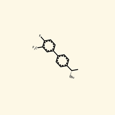 C[C@@H](c1ccc(-c2ccc(F)c(C(F)(F)F)c2)cc1)C(C)(C)C